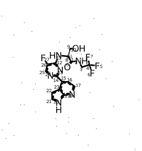 O=C(NCC(F)(F)F)[C@H](CO)Nc1nc(-c2ccnc3[nH]ccc23)ncc1F